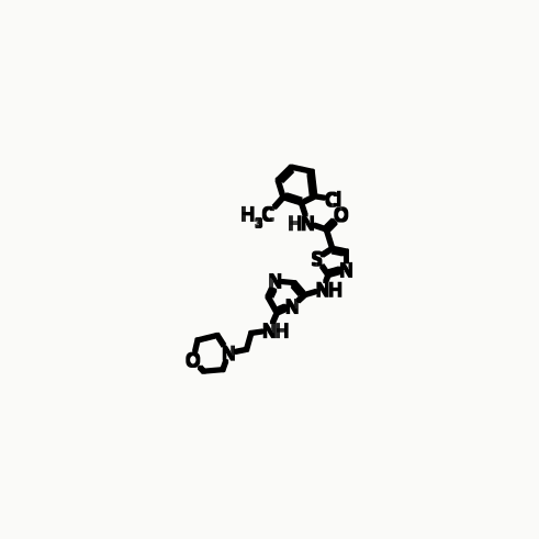 Cc1cccc(Cl)c1NC(=O)c1cnc(Nc2cncc(NCCN3CCOCC3)n2)s1